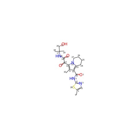 Cc1cnc(NC(=O)c2c(C)c(C(=O)C(=O)NC(C)(C)CO)n3c2CCCC3)s1